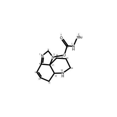 CC(C)(C)NC(=O)ON1CN=C2C=CCC3NCCCC231